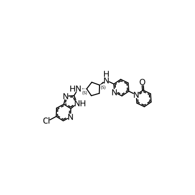 O=c1ccccn1-c1ccc(N[C@H]2CC[C@H](Nc3nc4cc(Cl)cnc4[nH]3)C2)nc1